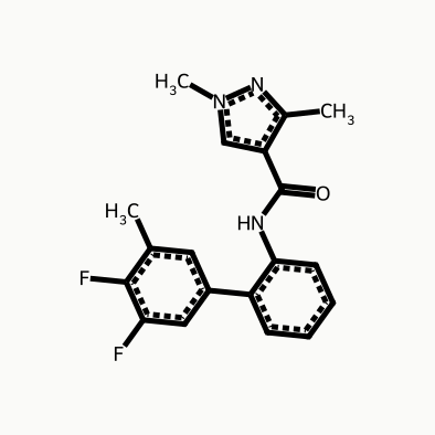 Cc1cc(-c2ccccc2NC(=O)c2cn(C)nc2C)cc(F)c1F